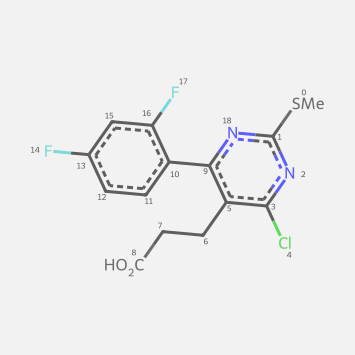 CSc1nc(Cl)c(CCC(=O)O)c(-c2ccc(F)cc2F)n1